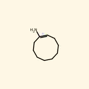 N/C1=C/CCCCCCCC1